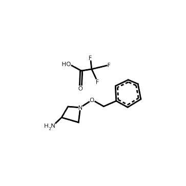 NC1CN(OCc2ccccc2)C1.O=C(O)C(F)(F)F